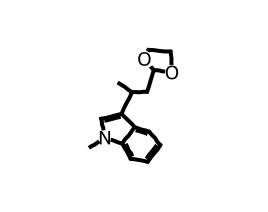 CC(CC1OCCO1)c1cn(C)c2ccccc12